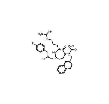 CNC(=O)[C@H](Cc1ccc2ccccc2c1)N1CC[C@H](CN(Cc2ccc(F)cc2)C(C)=O)N[C@@H](CCCNC(=N)N)C1=O